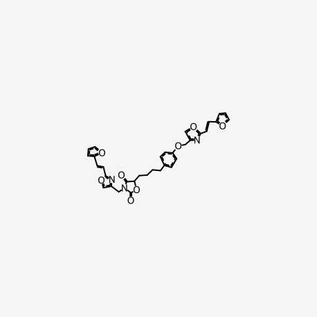 O=C1OC(CCCCc2ccc(OCc3coc(/C=C/c4ccco4)n3)cc2)C(=O)N1Cc1coc(/C=C/c2ccco2)n1